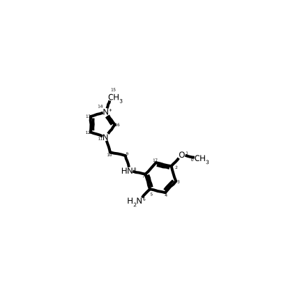 COc1ccc(N)c(NCCn2cc[n+](C)c2)c1